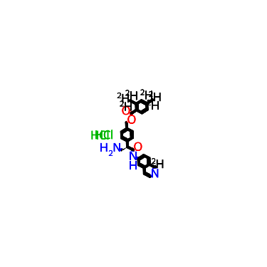 Cl.Cl.[2H]c1nccc2cc(NC(=O)[C@H](CN)c3ccc(COC(=O)c4ccc(C([2H])([2H])[2H])cc4C([2H])([2H])[2H])cc3)ccc12